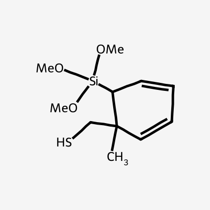 CO[Si](OC)(OC)C1C=CC=CC1(C)CS